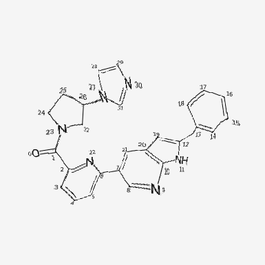 O=C(c1cccc(-c2cnc3[nH]c(-c4ccccc4)cc3c2)n1)N1CCC(n2ccnc2)C1